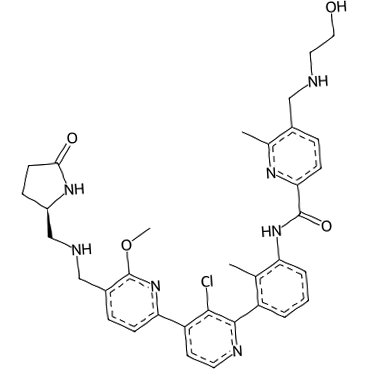 COc1nc(-c2ccnc(-c3cccc(NC(=O)c4ccc(CNCCO)c(C)n4)c3C)c2Cl)ccc1CNC[C@H]1CCC(=O)N1